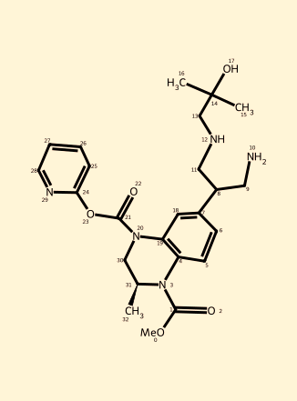 COC(=O)N1c2ccc(C(CN)CNCC(C)(C)O)cc2N(C(=O)Oc2ccccn2)C[C@@H]1C